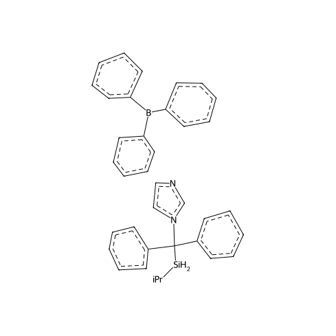 CC(C)[SiH2]C(c1ccccc1)(c1ccccc1)n1ccnc1.c1ccc(B(c2ccccc2)c2ccccc2)cc1